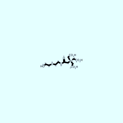 O=C(O)C[N+](CC(=O)O)(CC(=O)O)CC(=O)OCCOCCO